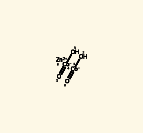 [O]=[Co-][OH].[O]=[Co-][OH].[Zn+2]